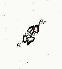 Brc1ccc([O][Zr]([O]c2ccc(Br)cc2)([C]2=CC=CC2)[C]2=CC=CC2)cc1